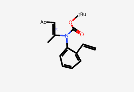 C=Cc1ccccc1N(C(=O)OC(C)(C)C)/C(C)=C/C(C)=O